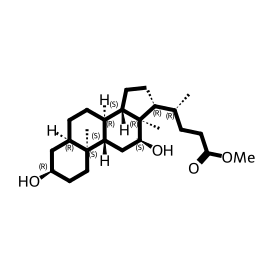 COC(=O)CC[C@@H](C)[C@H]1CC[C@H]2[C@@H]3CC[C@@H]4C[C@H](O)CC[C@]4(C)[C@H]3C[C@H](O)[C@]12C